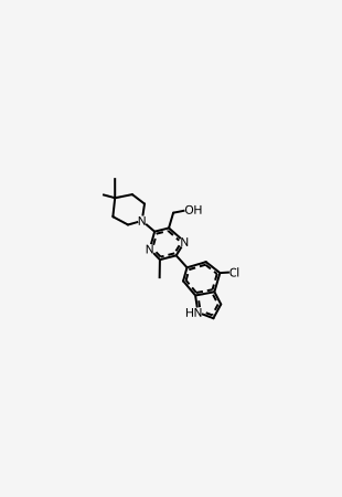 Cc1nc(N2CCC(C)(C)CC2)c(CO)nc1-c1cc(Cl)c2cc[nH]c2c1